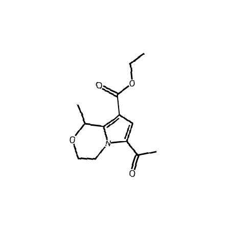 CCOC(=O)c1cc(C(C)=O)n2c1C(C)OCC2